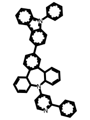 C1=CC2c3ccc(-c4ccc5c(c4)c4ccccc4n5-c4ccccc4)cc3C3C=CC=CC3N(c3ccnc(-c4ccccc4)c3)C2C=C1